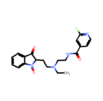 CCN(CCNC(=O)c1ccnc(F)c1)CCC1C(=O)c2ccccc2[N+]1=O